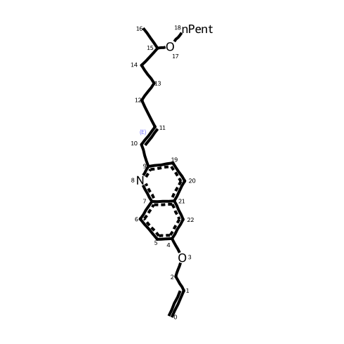 C=CCOc1ccc2nc(/C=C/CCCC(C)OCCCCC)ccc2c1